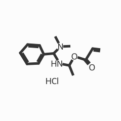 C=CC(=O)OC(C)NC(c1ccccc1)N(C)C.Cl